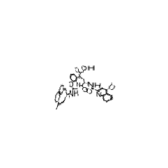 COc1cc(C(=O)N[C@H]2CN(C(=O)CO)c3ccccc3N(CC(=O)N[C@H](C=O)CC(C)=O)C2=O)nc2ccccc12